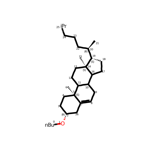 CCCCO[C@@H]1CC[C@]2(C)C(=CCC3C2CC[C@]2(C)C3CC[C@H]2[C@H](C)CCCC(C)C)C1